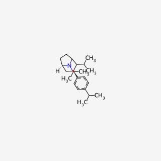 CC(C)c1ccc([C@H]2C[C@H]3CCC(C2C(C)C)N3C(C)C)cc1